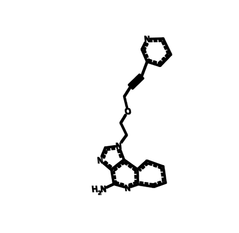 Nc1nc2ccccc2c2c1ncn2CCOCC#Cc1cccnc1